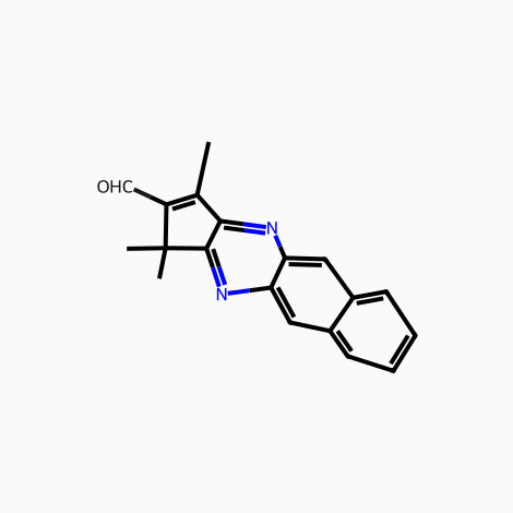 CC1=C(C=O)C(C)(C)c2nc3cc4ccccc4cc3nc21